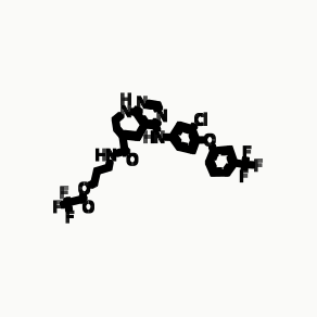 O=C(NCCCOC(=O)C(F)(F)F)C1=Cc2c(ncnc2Nc2ccc(Oc3cccc(C(F)(F)F)c3)c(Cl)c2)NCC1